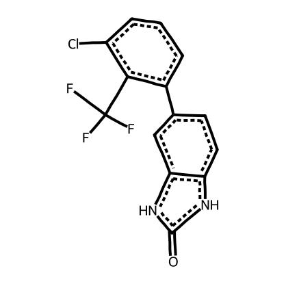 O=c1[nH]c2ccc(-c3cccc(Cl)c3C(F)(F)F)cc2[nH]1